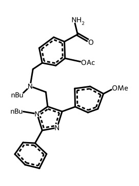 CCCCN(Cc1ccc(C(N)=O)c(OC(C)=O)c1)Cc1c(-c2ccc(OC)cc2)nc(-c2ccccc2)n1CCCC